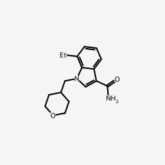 CCc1cccc2c(C(N)=O)cn(CC3CCOCC3)c12